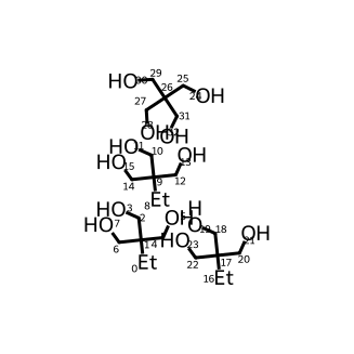 CCC(CO)(CO)CO.CCC(CO)(CO)CO.CCC(CO)(CO)CO.OCC(CO)(CO)CO